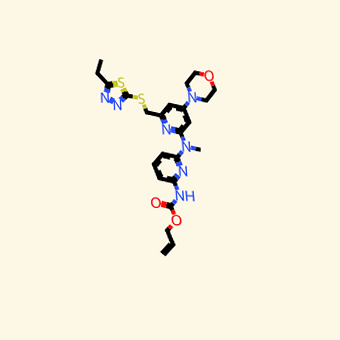 C=CCOC(=O)Nc1cccc(N(C)c2cc(N3CCOCC3)cc(CSc3nnc(CC)s3)n2)n1